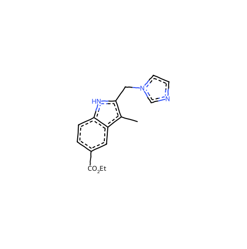 CCOC(=O)c1ccc2[nH]c(Cn3ccnc3)c(C)c2c1